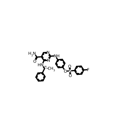 C[C@@H](Nc1nc(Nc2ccc(OS(=O)(=O)c3ccc(F)cc3)cc2)ncc1C(N)=O)c1ccccc1